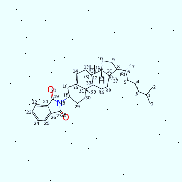 CC(C)CCC[C@@H](C)C1CC[C@H]2[C@@H]3CC=C4CC(N5C(=O)c6ccccc6C5=O)CCC4(C)C3CC[C@]12C